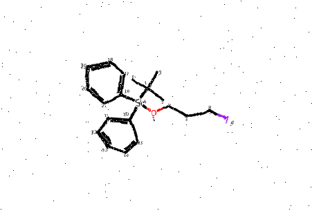 CC(C)(C)[Si](OCCCI)(c1ccccc1)c1ccccc1